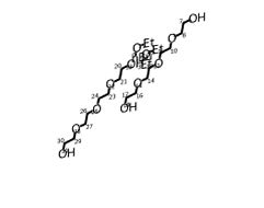 CCCCOCC.CCOCC.OCCOCCOCCOCCO.OCCOCCOCCOCCO